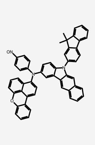 CC1(C)c2ccccc2-c2ccc(-n3c4ccc(N(c5ccc(N=O)cc5)c5ccc6c7c(cccc57)Oc5ccccc5-6)cc4c4cc5ccccc5cc43)cc21